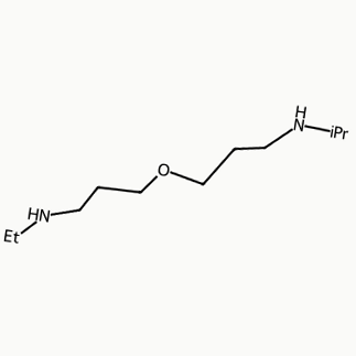 CCNCCCOCCCNC(C)C